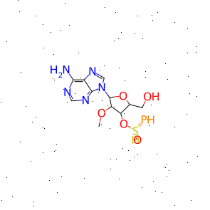 COC1C(O[SH](=O)=P)C(CO)OC1n1cnc2c(N)ncnc21